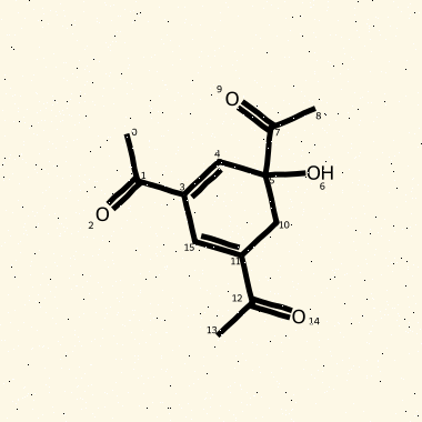 CC(=O)C1=CC(O)(C(C)=O)CC(C(C)=O)=C1